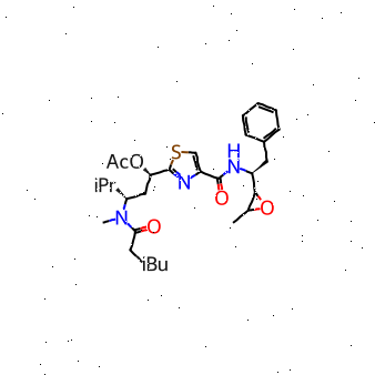 CCC(C)CC(=O)N(C)[C@H](C[C@@H](OC(C)=O)c1nc(C(=O)N[C@@H](Cc2ccccc2)C2OC2C)cs1)C(C)C